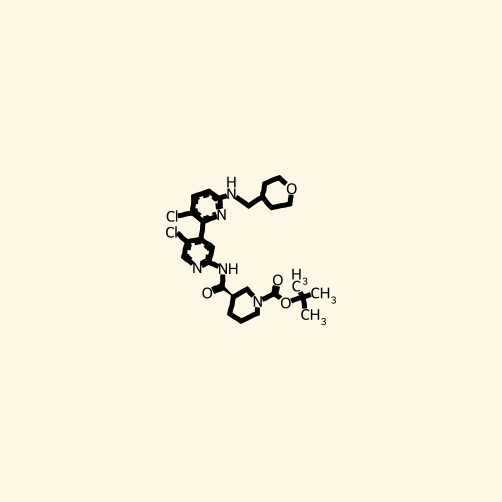 CC(C)(C)OC(=O)N1CCC[C@@H](C(=O)Nc2cc(-c3nc(NCC4CCOCC4)ccc3Cl)c(Cl)cn2)C1